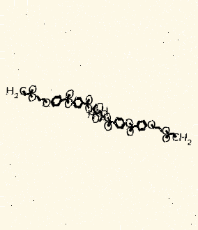 C=CC(=O)OCCCOc1ccc(C(=O)Oc2ccc(C(=O)O[C@H]3CO[C@H]4[C@@H]3OC[C@H]4OC(=O)c3ccc(OC(=O)c4ccc(OCCCOC(=O)C=C)cc4)cc3)cc2)cc1